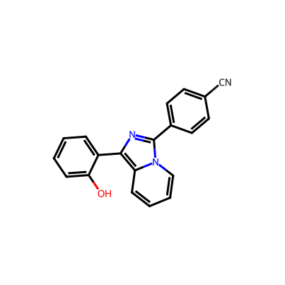 N#Cc1ccc(-c2nc(-c3ccccc3O)c3ccccn23)cc1